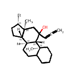 C=C=CC1(O)C[C@]2(C)[C@@H](CC)CC[C@H]2[C@@H]2CCC3CCCC[C@]3(C)[C@H]21